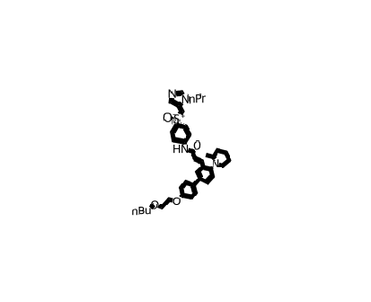 CCCCOCCOc1ccc(-c2ccc(N3CCCCC3C)c(C=CC(=O)Nc3ccc([S@@+]([O-])Cc4cncn4CCC)cc3)c2)cc1